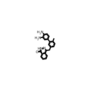 Cc1ccc(Cc2n[nH]c(=O)c3ccccc23)cc1-c1ccc(N)c(N)c1